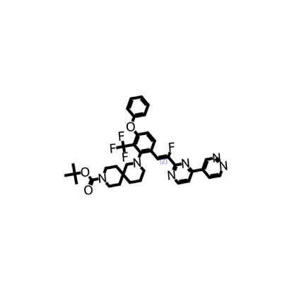 CC(C)(C)OC(=O)N1CCC2(CCCN(c3c(/C=C(\F)c4nccc(-c5ccnnc5)n4)ccc(Oc4ccccc4)c3C(F)(F)F)C2)CC1